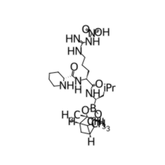 CC(C)C[C@H](NC(=O)[C@H](CCCNC(=N)N[N+](=O)O)NC(=O)[C@H]1CCCCN1)B1O[C@@H]2C[C@@H]3C[C@@H](C3(C)C)[C@]2(C)O1